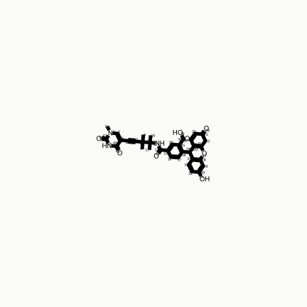 Cn1cc(C#CC(C)(C)C(C)(C)NC(=O)c2ccc(C3C4=C(CC(=O)C=C4)Oc4cc(O)ccc43)c(C(=O)O)c2)c(=O)[nH]c1=O